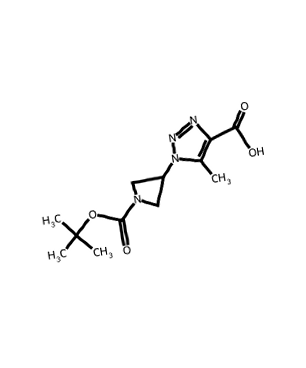 Cc1c(C(=O)O)nnn1C1CN(C(=O)OC(C)(C)C)C1